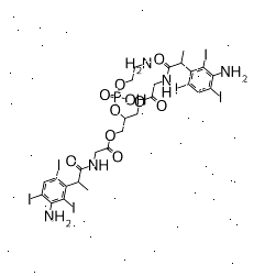 CC(C(=O)NCC(=O)OCC(COC(=O)CNC(=O)C(C)c1c(I)cc(I)c(N)c1I)OP(=O)(O)OCCN)c1c(I)cc(I)c(N)c1I